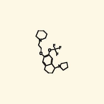 FC(F)(F)Oc1cc2c(cc1OCCN1CCCCC1)CCCC2N1CCCC1